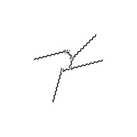 CCCCCCCCCCCCCCCCN(C)CCCN(CCCCCCCCCCCCCCCC)CCCC[N+](C)(CCCCCCCCCCCCCCCC)CCC[N+](C)(C)CCCCCCCCCCCCCCCC